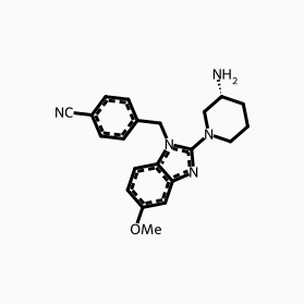 COc1ccc2c(c1)nc(N1CCC[C@@H](N)C1)n2Cc1ccc(C#N)cc1